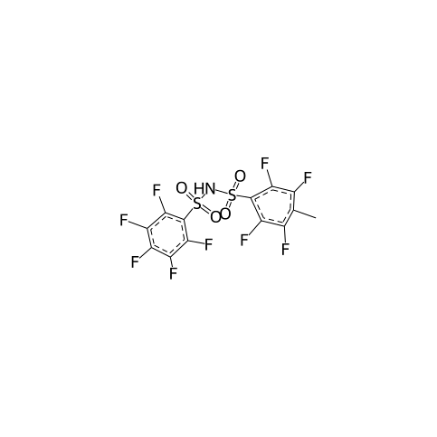 Cc1c(F)c(F)c(S(=O)(=O)NS(=O)(=O)c2c(F)c(F)c(F)c(F)c2F)c(F)c1F